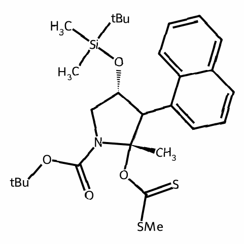 CSC(=S)O[C@@]1(C)C(c2cccc3ccccc23)[C@@H](O[Si](C)(C)C(C)(C)C)CN1C(=O)OC(C)(C)C